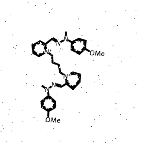 COc1ccc(N(C)/N=C/c2cccc[n+]2CCCC[n+]2ccccc2/C=N/N(C)c2ccc(OC)cc2)cc1